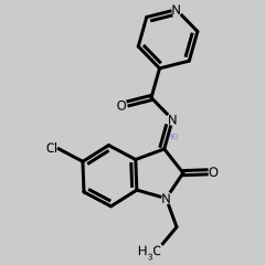 CCN1C(=O)/C(=N/C(=O)c2ccncc2)c2cc(Cl)ccc21